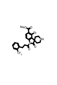 CCc1c(C(=O)OC)ccc2c1C1(CCNCC1)C(=O)N2C(=O)CCc1ccccc1C(F)(F)F